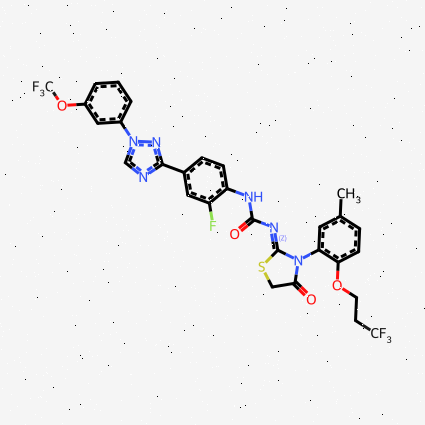 Cc1ccc(OCCC(F)(F)F)c(N2C(=O)CS/C2=N\C(=O)Nc2ccc(-c3ncn(-c4cccc(OC(F)(F)F)c4)n3)cc2F)c1